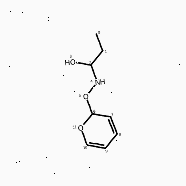 CCC(O)NOC1C=CC=CO1